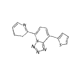 C1=CN=C(c2ccc(-c3cccs3)c3nnnn23)CC1